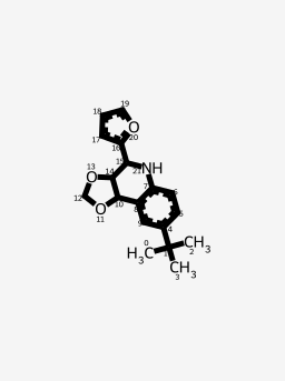 CC(C)(C)c1ccc2c(c1)C1OCOC1C(c1ccco1)N2